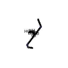 CCCCC/C=C\C/C=C\CCCCCCCCCCCC(=O)O[C@H](COC(=O)CCCCCCC/C=C\CCCCCCCCC)COP(=O)(O)OC[C@H](N)C(=O)O